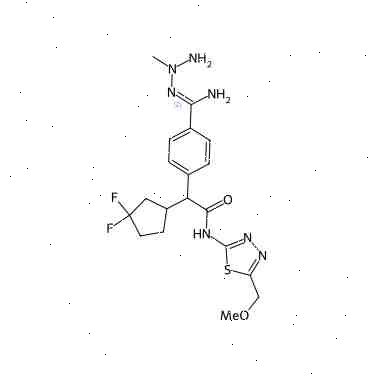 COCc1nnc(NC(=O)C(c2ccc(/C(N)=N/N(C)N)cc2)C2CCC(F)(F)C2)s1